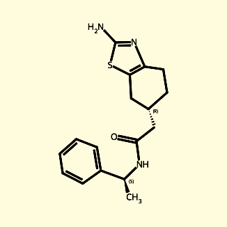 C[C@H](NC(=O)C[C@H]1CCc2nc(N)sc2C1)c1ccccc1